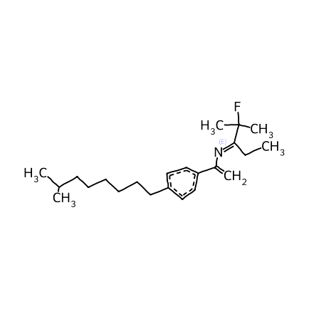 C=C(/N=C(\CC)C(C)(C)F)c1ccc(CCCCCCC(C)C)cc1